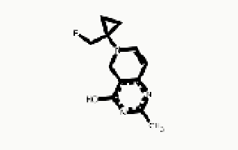 Cc1nc(O)c2c(n1)C=CN(C1(CF)CC1)C2